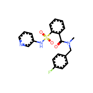 CN(Cc1ccc(F)cc1)C(=O)c1ccccc1S(=O)(=O)Nc1cccnc1